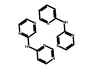 c1cc(Nc2cnccn2)ncn1.c1ccc(Nc2cnccn2)nc1